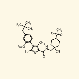 CCc1nc(C(=O)NCC2(C#N)CCC(S(C)(=O)=O)CC2)c(C)n1-c1ncc(CC(C)(C)C(F)(F)F)cc1OC